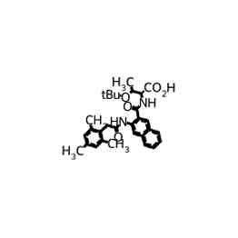 Cc1cc(C)c(CC(=O)Nc2cc3ccccc3cc2C(=O)N[C@H](C(=O)O)C(C)OC(C)(C)C)c(C)c1